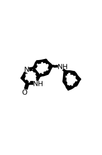 O=c1cnc2ccc(Nc3ccccc3)cc2[nH]1